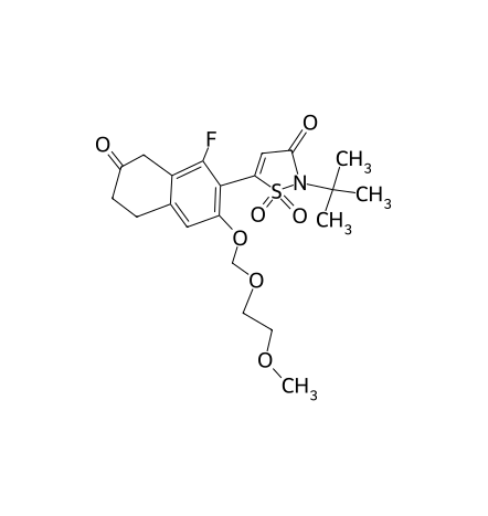 COCCOCOc1cc2c(c(F)c1C1=CC(=O)N(C(C)(C)C)S1(=O)=O)CC(=O)CC2